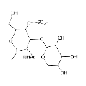 CC(=O)NC1C(C)OC(CO)C(OS(=O)(=O)O)C1OC1OCC(O)C(O)C1O